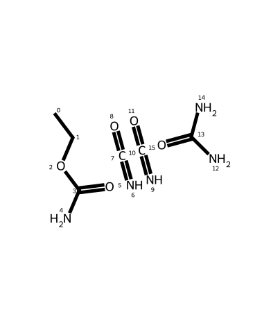 CCOC(N)=O.N=C=O.N=C=O.NC(N)=O